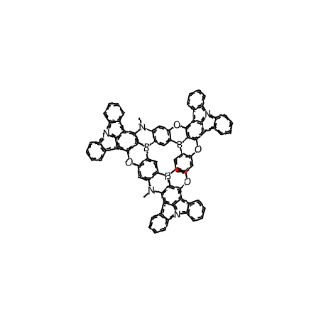 CN1c2cc3c(cc2B2c4cc5c(cc4Oc4c2c1c1c2ccccc2n2c6ccccc6c4c12)N(C)c1c2c(c4c6ccccc6n6c7ccccc7c1c46)Oc1ccccc1B52)B1c2ccccc2Oc2c1c(c1c4ccccc4n4c5ccccc5c2c14)O3